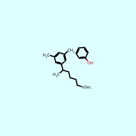 CCCCCCCCCCCCCCC(C)c1cc(C)cc(C)c1.Oc1ccccc1